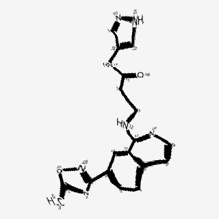 Cc1nc(-c2ccc3ccnc(NCCC(=O)Nc4cn[nH]c4)c3c2)no1